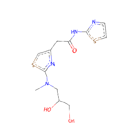 CN(CC(O)CO)c1nc(CC(=O)Nc2nccs2)cs1